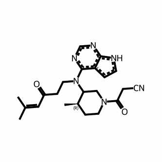 CC(C)=CC(=O)CCN(c1ncnc2[nH]ccc12)C1CN(C(=O)CC#N)CC[C@H]1C